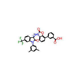 Cc1cc(C)cc(N2C(=O)/C(=N\n3c(=O)oc4c(-c5cccc(C(=O)O)c5)cccc43)c3ccc(C(F)(F)F)cc32)c1